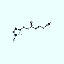 N#CS/C=C/C(=O)OCc1ccc(Cl)s1